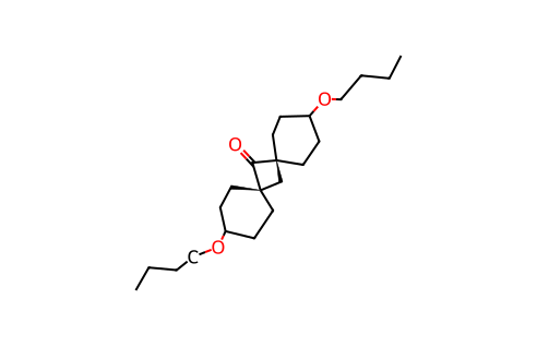 CCCCOC1CC[C@]2(CC1)C[C@@]1(CCC(OCCCC)CC1)C2=O